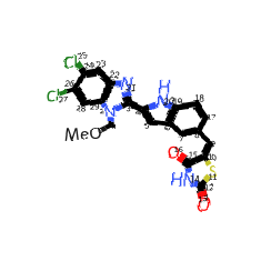 COCn1c(-c2cc3cc(C=C4SC(=O)NC4=O)ccc3[nH]2)nc2cc(Cl)c(Cl)cc21